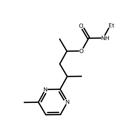 CCNC(=O)OC(C)CC(C)c1nccc(C)n1